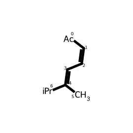 CC(=O)/C=C\C=C(/C)C(C)C